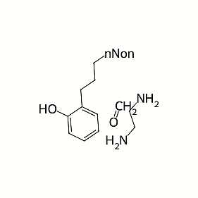 C=O.CCCCCCCCCCCCc1ccccc1O.NCCN